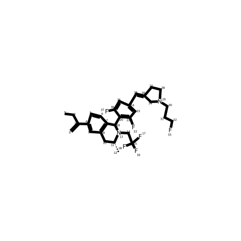 C=C(CC)c1ccc2c(c1)C[C@@H](C)N(CC(F)(F)F)C2c1c(F)cc(/C=C2/CCN(CCCF)C2)cc1F